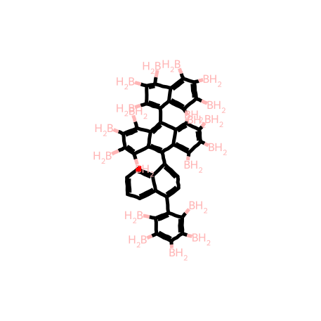 Bc1c(B)c(B)c(-c2ccc(-c3c4c(B)c(B)c(B)c(B)c4c(-c4c(B)c(B)c(B)c5c(B)c(B)c(B)c(B)c45)c4c(B)c(B)c(B)c(B)c34)c3ccccc23)c(B)c1B